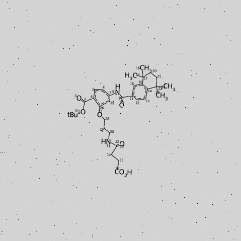 CC(C)(C)OC(=O)c1ccc(NC(=O)c2ccc3c(c2)C(C)(C)CCC3(C)C)cc1OCCCNC(=O)CCC(=O)O